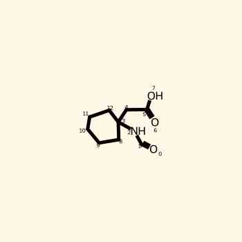 O=[C]NC1(CC(=O)O)CCCCC1